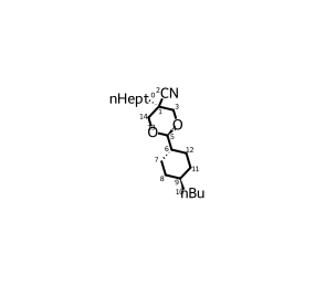 CCCCCCC[C@]1(C#N)CO[C@@H]([C@H]2CC[C@H](CCCC)CC2)OC1